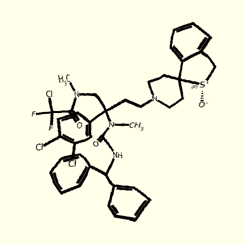 CN(CC(CCN1CCC2(CC1)c1ccccc1C[S@+]2[O-])(c1ccc(Cl)c(Cl)c1)N(C)C(=O)NC(c1ccccc1)c1ccccc1)C(=O)C(F)(F)Cl